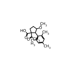 COC1CCC(C(C)=O)(C(=O)O)C1c1c(C)cc(C)cc1C